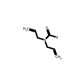 C=CCN(CC=C)C([N])=O